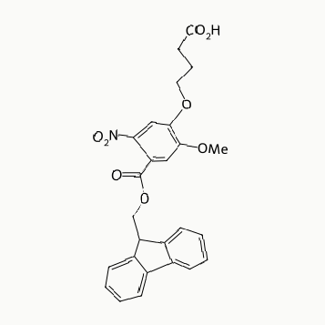 COc1cc(C(=O)OCC2c3ccccc3-c3ccccc32)c([N+](=O)[O-])cc1OCCCC(=O)O